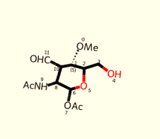 CO[C@@H]1C(CO)OC(OC(C)=O)C(NC(C)=O)C1C=O